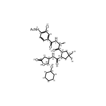 CC(=O)Nc1ccc(C(=O)N[C@@H](C)C(=O)N2CC(F)(F)C[C@H]2C(=O)NC2CC(=O)O[C@H]2OC2CCCCC2)cc1Cl